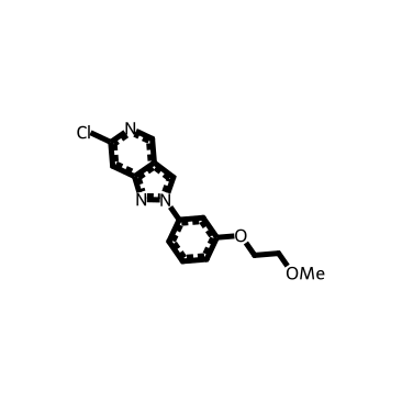 COCCOc1cccc(-n2cc3cnc(Cl)cc3n2)c1